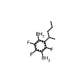 Bc1c(F)c(F)c(B)c(C(C)CCC)c1F